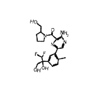 Cc1ccc(C(O)(CO)C(F)F)cc1-c1cnc(N)c(C(=O)N2CCCC2CO)n1